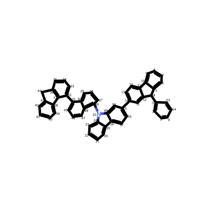 c1ccc(C2c3ccccc3-c3ccc(-c4ccc5c6ccccc6n(-c6cccc7c(-c8cccc9c8-c8ccccc8C9)cccc67)c5c4)cc32)cc1